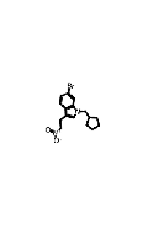 O=[N+]([O-])CCc1cn(CC2CCCC2)c2cc(Br)ccc12